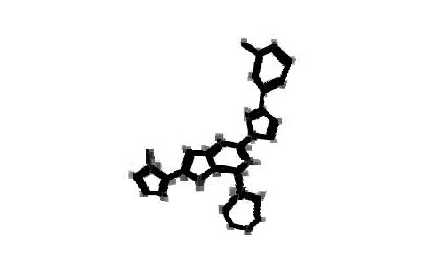 Cc1cccc(-c2ccn(-c3nc(N4CCOCC4)c4oc(-c5ncc[nH]5)cc4n3)n2)c1